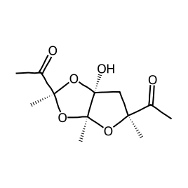 CC(=O)[C@]1(C)O[C@]2(C)O[C@](C)(C(C)=O)C[C@]2(O)O1